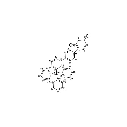 Clc1ccc2c(c1)oc1cc(-c3cccc(C4(c5ccccc5)c5ccccc5-c5ccccc54)c3)ccc12